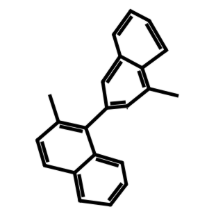 Cc1ccc2ccccc2c1-c1[c]c(C)c2ccccc2c1